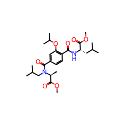 COC(=O)[C@H](CC(C)C)NC(=O)c1ccc(C(=O)N(CC(C)C)[C@@H](C)C(=O)OC)cc1OC(C)C